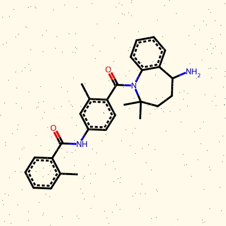 Cc1ccccc1C(=O)Nc1ccc(C(=O)N2c3ccccc3C(N)CCC2(C)C)c(C)c1